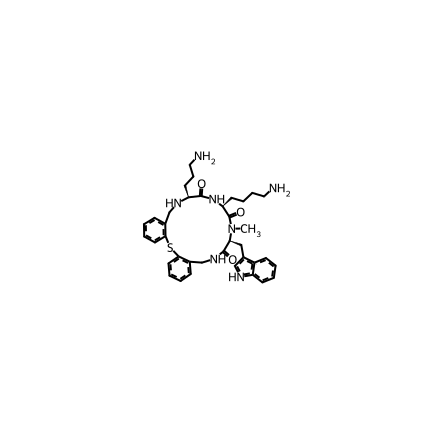 CN1C(=O)[C@H](CCCCN)NC(=O)[C@H](CCCN)NCc2ccccc2Sc2ccccc2CNC(=O)[C@@H]1Cc1c[nH]c2ccccc12